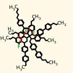 CCCCCc1ccc(-c2ccc(C(C(Cc3ccc(-c4ccc(CCC)cc4)cc3)c3ccc(CCC)cc3F)(C(Cc3ccc(-c4ccc(CCCC)cc4)cc3)c3ccc(CCC)cc3F)C(CC(c3ccc(-c4ccc(CC)cc4)cc3)c3ccc(CCC)cc3F)c3ccc(CCC)cc3F)cc2)cc1